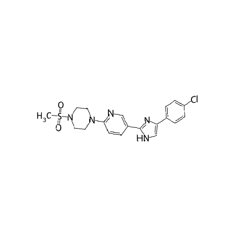 CS(=O)(=O)N1CCN(c2ccc(-c3nc(-c4ccc(Cl)cc4)c[nH]3)cn2)CC1